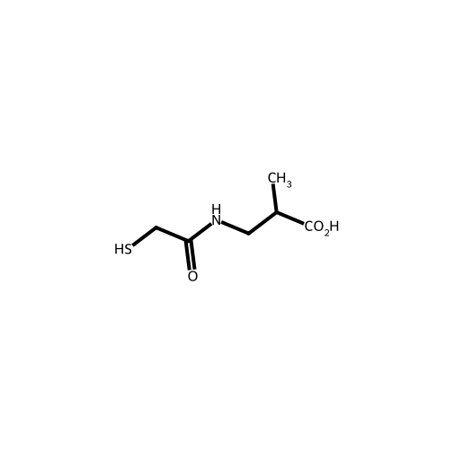 CC(CNC(=O)CS)C(=O)O